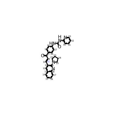 O=C(Nc1ccc(C(=O)/C=C/c2cc3ccccc3nc2N2CCCC2)cc1)Nc1ccccn1